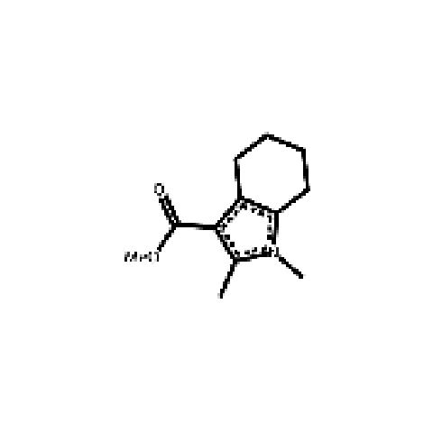 COC(=O)c1c2c(n(C)c1C)CCCC2